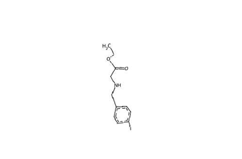 CCOC(=O)CNCc1ccc(I)cc1